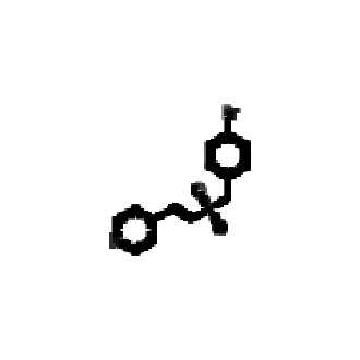 O=S(=O)(C=Cc1ccncc1)Cc1ccc(Br)cc1